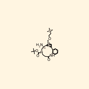 CC(C)(C)OC(=O)N1CCC(=O)Nc2ccccc2-c2cn(COCC[Si](C)(C)C)c(n2)[C@@H](N)C1